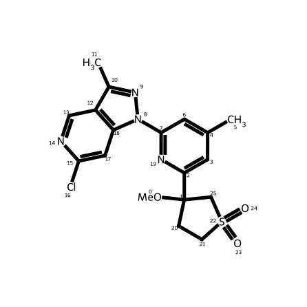 COC1(c2cc(C)cc(-n3nc(C)c4cnc(Cl)cc43)n2)CCS(=O)(=O)C1